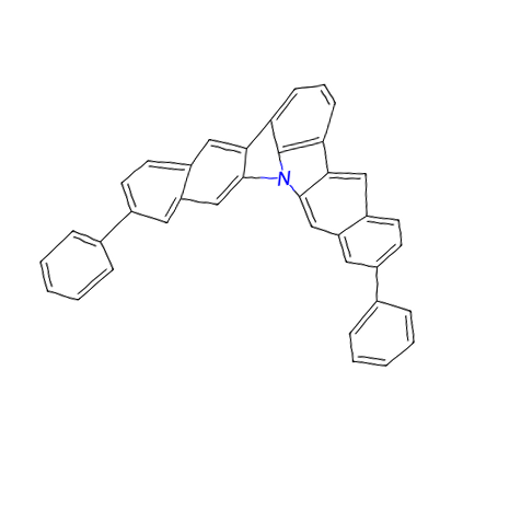 c1ccc(-c2ccc3cc4c5cccc6c7cc8ccc(-c9ccccc9)cc8cc7n(c4cc3c2)c56)cc1